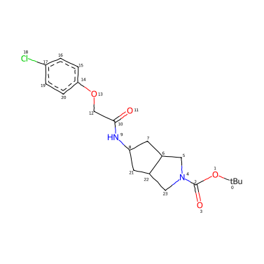 CC(C)(C)OC(=O)N1CC2CC(NC(=O)COc3ccc(Cl)cc3)CC2C1